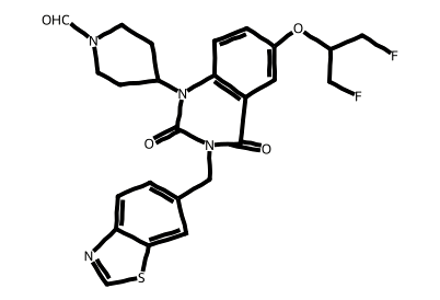 O=CN1CCC(n2c(=O)n(Cc3ccc4ncsc4c3)c(=O)c3cc(OC(CF)CF)ccc32)CC1